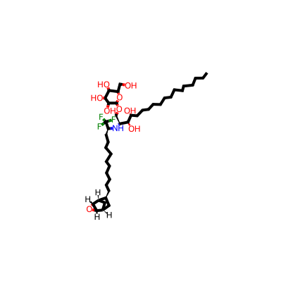 CCCCCCCCCCCCCC[C@@H](O)[C@@H](O)[C@H](COC1OC(CO)C(O)C(O)C1O)N[C@@H](CCCCCCCCCC[C@H]1C[C@@H]2C[C@H]1[C@H]1O[C@@H]21)C(F)(F)F